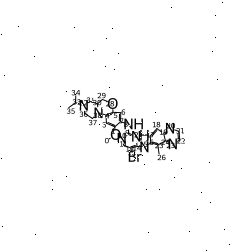 COc1cc2c(cc1Nc1ncc(Br)c(Nc3ccc4nccnc4c3C)n1)OCC1CN(C(C)C)CCN21